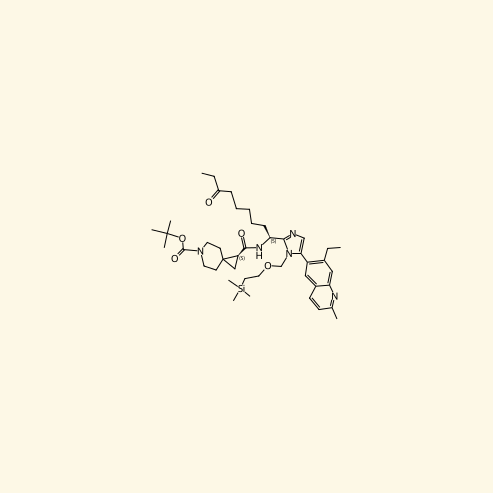 CCC(=O)CCCCC[C@H](NC(=O)[C@H]1CC12CCN(C(=O)OC(C)(C)C)CC2)c1ncc(-c2cc3ccc(C)nc3cc2CC)n1COCC[Si](C)(C)C